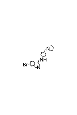 Brc1ccc2c(c1)C=NCC2=CNc1ccc(CN2CCCCC2)cc1